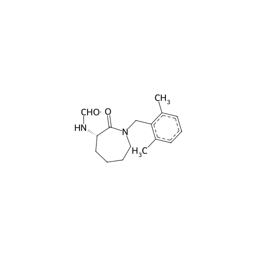 Cc1cccc(C)c1CN1CCCC[C@H](N[C]=O)C1=O